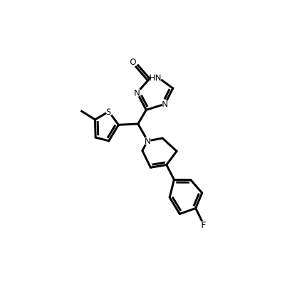 Cc1ccc(C(c2nc[nH]c(=O)n2)N2CC=C(c3ccc(F)cc3)CC2)s1